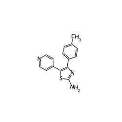 Cc1ccc(-c2nc(N)sc2-c2ccncc2)cc1